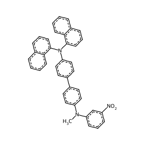 CN(c1ccc(-c2ccc(N(c3cccc4ccccc34)c3cccc4ccccc34)cc2)cc1)c1cccc([N+](=O)[O-])c1